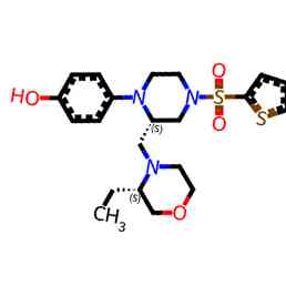 CC[C@H]1COCCN1C[C@H]1CN(S(=O)(=O)c2cccs2)CCN1c1ccc(O)cc1